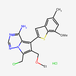 CCOCc1c(-c2cc3cc(C)cc(OC)c3s2)c2c(N)ncnn2c1CCl.Cl